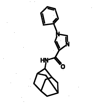 O=C(NC1C2CC3CC(C2)CC1C3)c1cn(-c2ccccc2)cn1